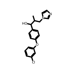 CC(Cn1ccnc1)C(O)c1ccc(Oc2cccc(Cl)c2)cc1